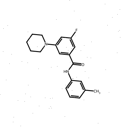 Cc1cccc(NC(=O)c2cc(F)cc(N3CCCCC3)c2)c1